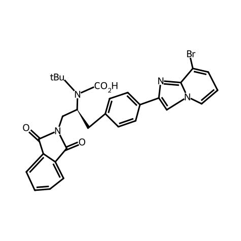 CC(C)(C)N(C(=O)O)[C@@H](Cc1ccc(-c2cn3cccc(Br)c3n2)cc1)CN1C(=O)c2ccccc2C1=O